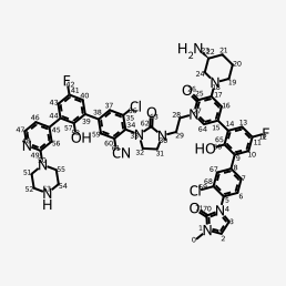 Cn1ccn(-c2ccc(-c3cc(F)cc(-c4cc(N5CCC[C@H](N)C5)c(=O)n(CCN5CCN(c6c(Cl)cc(-c7cc(F)cc(-c8ccnc(N9CCNCC9)c8)c7O)cc6C#N)C5=O)c4)c3O)cc2Cl)c1=O